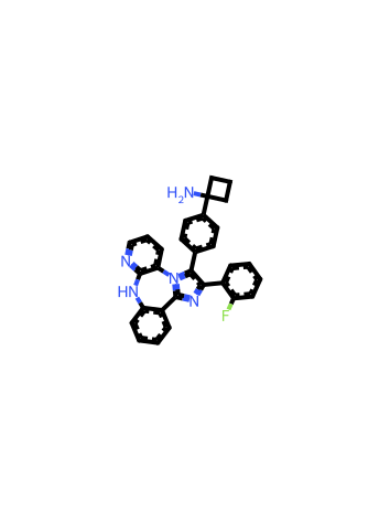 NC1(c2ccc(-c3c(-c4ccccc4F)nc4n3-c3cccnc3Nc3ccccc3-4)cc2)CCC1